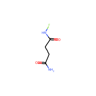 NC(=O)CCC(=O)NF